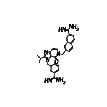 CC(C)c1nc2ccn(Cc3ccc4ccc(C(=N)N)cc4c3)c(=O)c2n1Cc1cccc(C(=N)N)c1